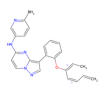 Bc1ccc(Nc2ccn3ncc(-c4ccccc4OC(/C=C\C=C)=C/C)c3n2)cn1